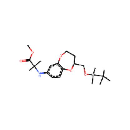 COC(=O)C(C)(C)Nc1ccc2c(c1)OCCC(CO[Si](C)(C)C(C)(C)C)O2